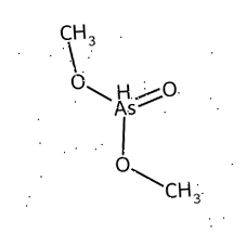 CO[AsH](=O)OC